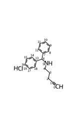 C#CCCCNC(c1ccccc1)c1ccccc1.Cl